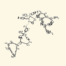 C[C@@]1(O)[C@H](O)[C@@H](COP2(=O)OCCC(c3cccnc3)O2)O[C@H]1n1ccc2c(N)nc(N)nc21